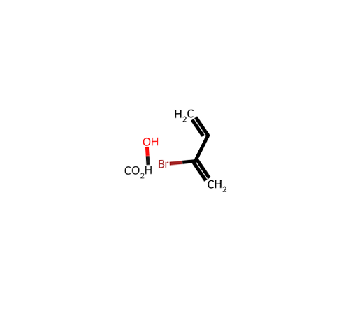 C=CC(=C)Br.O=C(O)O